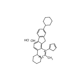 C[C](C)=[Zr]([C]1=CC=CC1)[c]1c(C2CCCCC2)ccc2c1Cc1cc(C3CCCCC3)ccc1-2.Cl.Cl